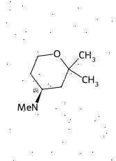 CN[C@H]1CCOC(C)(C)C1